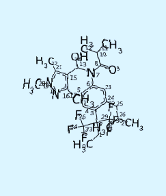 CCC(c1ccc(N(C(=O)C(C)C)C(O)c2c(C)nn(C)c2C)cc1CC(C)C)(C(F)(F)F)C(F)(F)F